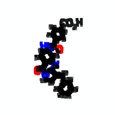 O=C(O)c1ccc(C(=O)Nc2ccc3c(=O)n4c(nc3c2)C(=Cc2ccccc2)CC4)cc1